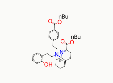 CCCCOC(=O)C1=N[C@@]2(N(CCc3ccc(C(=O)OCCCC)cc3)CCc3ccccc3O)CCCC=C2C=C1